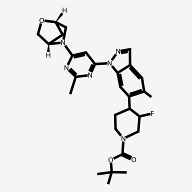 Cc1nc(N2C[C@@H]3C[C@H]2CO3)cc(-n2ncc3cc(C)c(C4CCN(C(=O)OC(C)(C)C)CC4F)cc32)n1